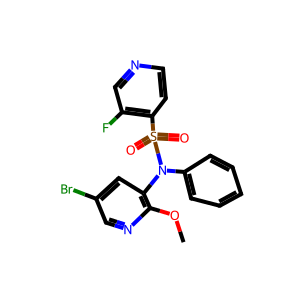 COc1ncc(Br)cc1N(c1ccccc1)S(=O)(=O)c1ccncc1F